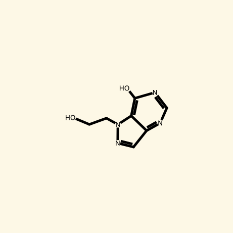 OCCn1ncc2ncnc(O)c21